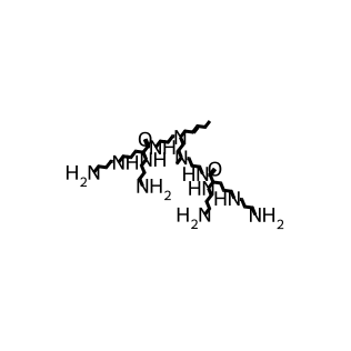 CCC=CCN(CCCNC(=O)C(CCCNCCCN)NCCCN)CCN(C)CCCNC(=O)C(CCCNCCCN)NCCCN